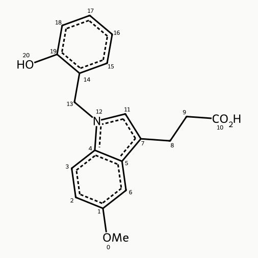 COc1ccc2c(c1)c(CCC(=O)O)cn2Cc1ccccc1O